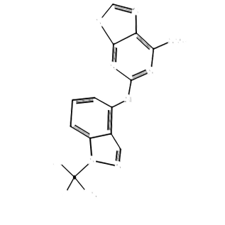 CNc1nc(Nc2cccc3c2cnn3C(C)(C)C#N)nc2[nH]cnc12